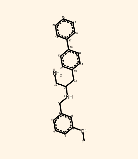 COc1cccc(CNC(CN)Cc2ccc(-c3ccccc3)cc2)c1